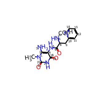 Cn1c(N)c(NC(=O)C(Cc2ccccn2)NC(=O)O)c(=O)[nH]c1=O